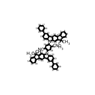 CC1(C)c2ccccc2-c2cc3c4cc(-c5ccccc5)ccc4n(-c4cc(C#N)c(-n5c6ccc(-c7ccccc7)cc6c6cc7c(cc65)C(C)(C)c5ccccc5-7)cc4C#N)c3cc21